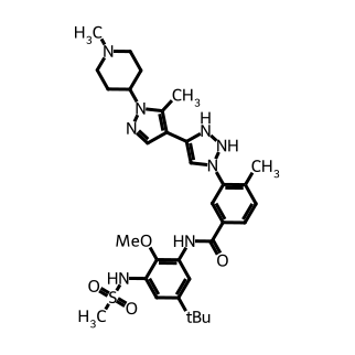 COc1c(NC(=O)c2ccc(C)c(N3C=C(c4cnn(C5CCN(C)CC5)c4C)NN3)c2)cc(C(C)(C)C)cc1NS(C)(=O)=O